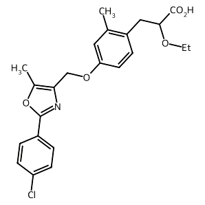 CCOC(Cc1ccc(OCc2nc(-c3ccc(Cl)cc3)oc2C)cc1C)C(=O)O